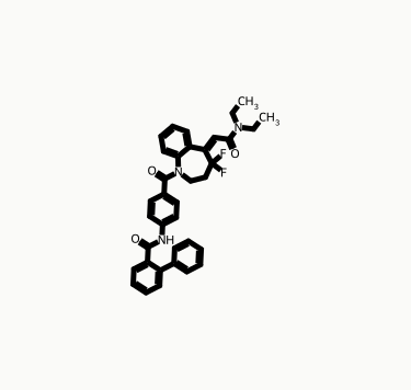 CCN(CC)C(=O)/C=C1/c2ccccc2N(C(=O)c2ccc(NC(=O)c3ccccc3-c3ccccc3)cc2)CCC1(F)F